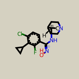 O/N=C(/N[C@H]1CN2CCC1CC2)c1ccc(Cl)c(C2CC2)c1F